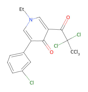 CCn1cc(C(=O)C(Cl)(Cl)C(Cl)(Cl)Cl)c(=O)c(-c2cccc(Cl)c2)c1